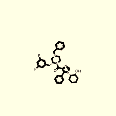 O=C(c1ncn([C@H]2CCCC[C@H]2O)c1-c1ccccc1)N1CCN(Cc2ccccc2)C[C@H]1Cc1cc(F)cc(F)c1